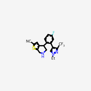 CCn1cc(-c2cc(F)ccc2C2CNCc3sc(C#N)cc32)c(C(F)(F)F)n1